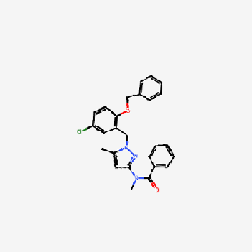 Cc1cc(N(C)C(=O)c2ccccc2)nn1Cc1cc(Cl)ccc1OCc1ccccc1